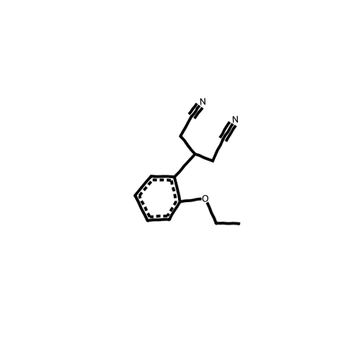 CCOc1ccccc1C(CC#N)CC#N